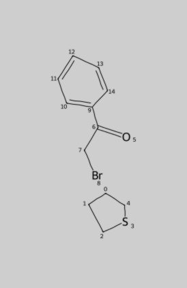 C1CCSC1.O=C(CBr)c1ccccc1